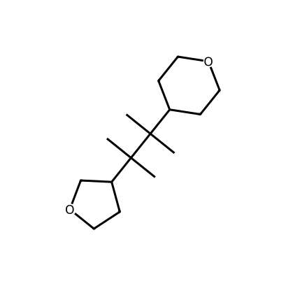 CC(C)(C1CCOCC1)C(C)(C)C1CCOC1